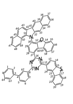 c1ccc(-c2cccc(-c3nc(-c4ccc5sc6ccccc6c5c4)nc(-c4ccc(-n5c6cc7ccccc7cc6c6ccc7ccccc7c65)c5oc6ccccc6c45)n3)c2)cc1